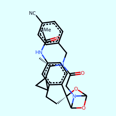 CNC(=O)Nc1ccc2c(c1)CC[C@@]21OC2OC1N2CC(=O)N(Cc1ccc(C#N)cc1)[C@@H](C)C1CC1